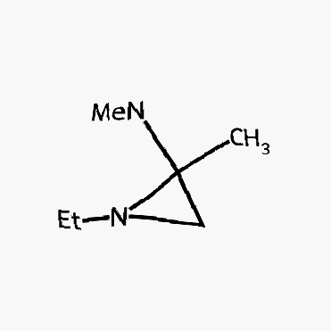 CCN1CC1(C)NC